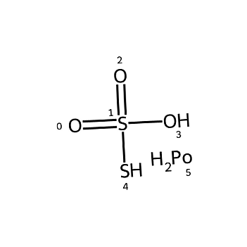 O=S(=O)(O)S.[PoH2]